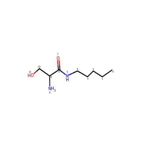 CCCCCNC(=O)C(N)CO